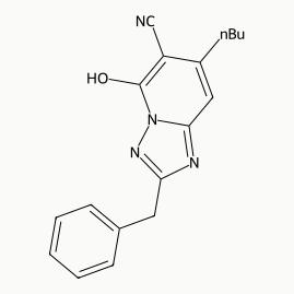 CCCCc1cc2nc(Cc3ccccc3)nn2c(O)c1C#N